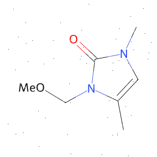 COCn1c(C)cn(C)c1=O